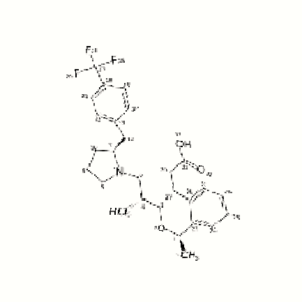 C[C@@H](OC[C@H](O)CN1CCC[C@H]1Cc1ccc(C(F)(F)F)cc1)c1ccccc1CCC(=O)O